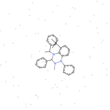 CC(c1ccccc1)N1c2c(cccc2C(C)(C)C)N(c2ccccc2)N(C)C1c1ccccc1